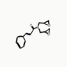 O=C(/C=C/c1ccccc1)N(CC1CO1)CC1CO1